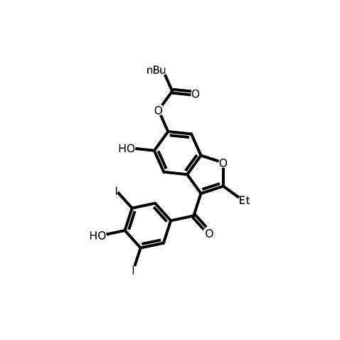 CCCCC(=O)Oc1cc2oc(CC)c(C(=O)c3cc(I)c(O)c(I)c3)c2cc1O